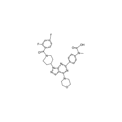 CN(C(=O)O)c1ccc(-c2nc(N3CCOCC3)c3cnn(C4CCN(C(=O)c5ccc(F)cc5F)CC4)c3n2)cc1